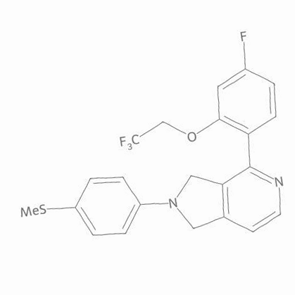 CSc1ccc(N2Cc3ccnc(-c4ccc(F)cc4OCC(F)(F)F)c3C2)cc1